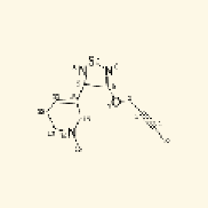 CC#CCOc1nsnc1C1=CCCN(C)C1